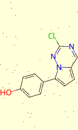 Oc1ccc(-c2ccc3cnc(Cl)nn23)cc1